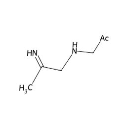 CC(=N)CNCC(C)=O